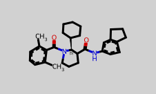 Cc1cccc(C)c1C(=O)N1CCCC(C(=O)Nc2ccc3c(c2)CCC3)[C@@H]1C1CCCCC1